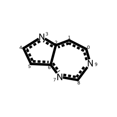 c1cc2nccc-2ncn1